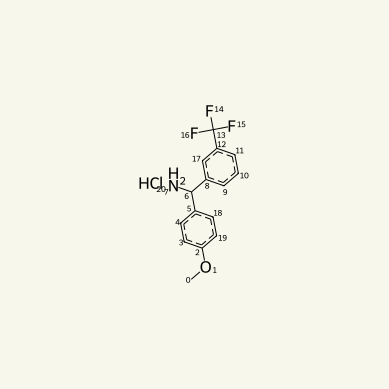 COc1ccc(C(N)c2cccc(C(F)(F)F)c2)cc1.Cl